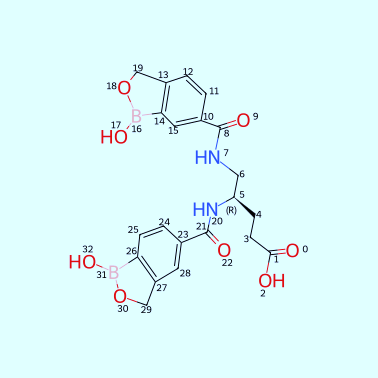 O=C(O)CC[C@H](CNC(=O)c1ccc2c(c1)B(O)OC2)NC(=O)c1ccc2c(c1)COB2O